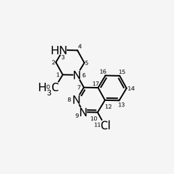 CC1CNCCN1c1nnc(Cl)c2ccccc12